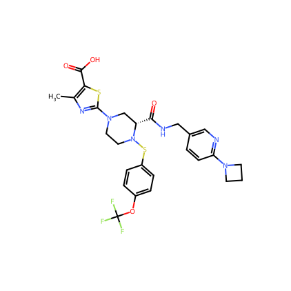 Cc1nc(N2CCN(Sc3ccc(OC(F)(F)F)cc3)[C@@H](C(=O)NCc3ccc(N4CCC4)nc3)C2)sc1C(=O)O